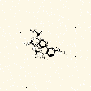 COc1ccc(OC)c([C@@H]2OC[C@@H](OC(C)=O)[C@H](OC(C)=O)[C@H]2OC(C)=O)c1